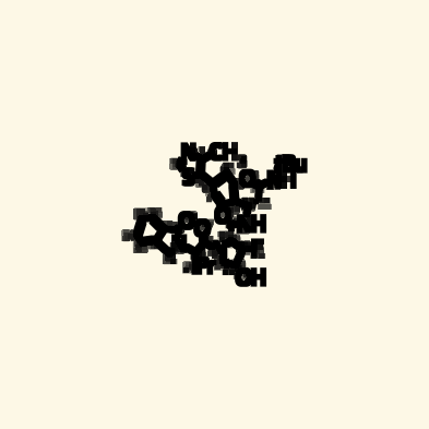 Cc1ncsc1-c1ccc([C@H](CC(=O)NC(C)(C)C)NC(=O)[C@@H]2[C@@H](F)[C@@H](O)CN2C(=O)[C@H](C(C)C)N2Cc3ccccc3C2=O)cc1